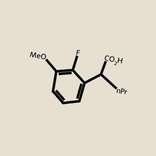 CCCC(C(=O)O)c1cccc(OC)c1F